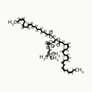 CC/C=C\C/C=C\C/C=C\C/C=C\C/C=C\C/C=C\CCC(=O)O[C@H](COC(=O)CCCCCCC/C=C\C/C=C\C/C=C\CC)COP(=O)([O-])OCC[N+](C)(C)C